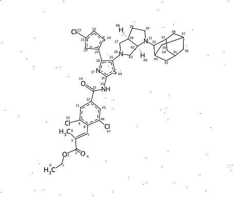 CCOC(=O)/C(C)=C/c1c(Cl)cc(C(=O)Nc2nc(-c3cc(Cl)cs3)c(N3C[C@H]4CCN(C5C6CC7CC(C6)CC5C7)[C@H]4C3)s2)cc1Cl